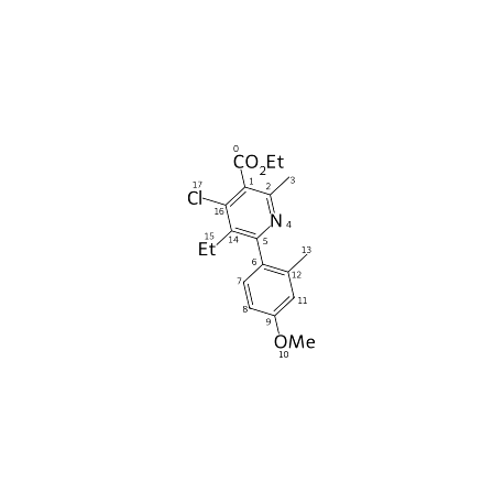 CCOC(=O)c1c(C)nc(-c2ccc(OC)cc2C)c(CC)c1Cl